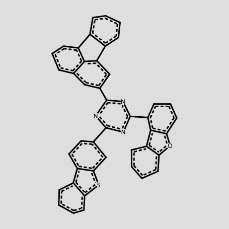 c1ccc2c(c1)-c1cccc3cc(-c4nc(-c5ccc6c(c5)sc5ccccc56)nc(-c5cccc6oc7ccccc7c56)n4)cc-2c13